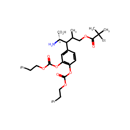 CCC(C)(C)C(=O)OCC(C)C(c1ccc(OC(=O)OCCC(C)C)c(OC(=O)OCCC(C)C)c1)[C@H](N)C(=O)O